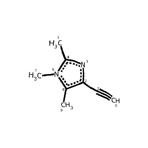 C#Cc1nc(C)n(C)c1C